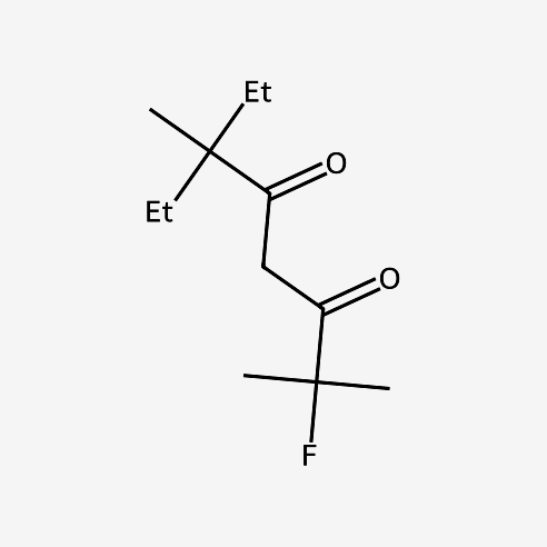 CCC(C)(CC)C(=O)CC(=O)C(C)(C)F